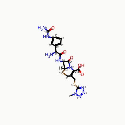 Cn1nnnc1SCC1=C(C(=O)O)N2C(=O)C(NC(=O)C(N)c3cccc(NC(N)=O)c3)[C@H]2SC1